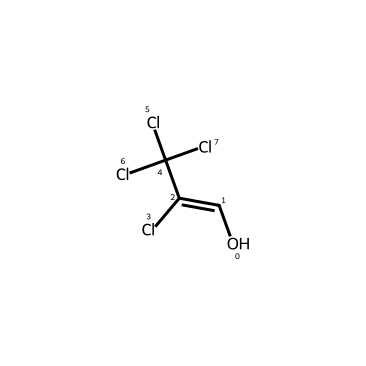 OC=C(Cl)C(Cl)(Cl)Cl